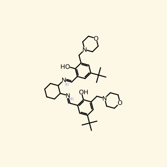 CC(C)(C)c1cc(/C=N/C2CCCCC2/N=C/c2cc(C(C)(C)C)cc(CN3CCOCC3)c2O)c(O)c(CN2CCOCC2)c1